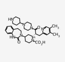 Cc1cnc(CC(C(=O)N2CCN(C3CCNCC3)CC2)[C@H]2CC(N3CCc4ccccc4NC3=O)CCN2C(=O)O)cc1C